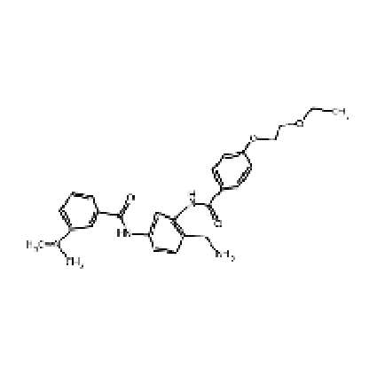 CCOCCOc1ccc(C(=O)Nc2cc(NC(=O)c3cccc(N(C)C)c3)ccc2CN)cc1